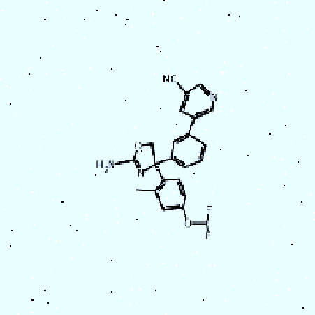 Cc1cc(OC(F)F)ccc1C1(c2cccc(-c3cncc(C#N)c3)c2)COC(N)=N1